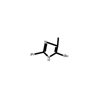 Cc1nc(C(C)C)[nH]c1C(C)(C)C